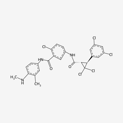 CNc1ccc(NC(=O)c2cc(NC(=O)[C@@H]3[C@@H](c4cc(Cl)cc(Cl)c4)C3(Cl)Cl)ccc2Cl)cc1C